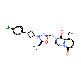 C=C1OC(Cn2ccn3c(=O)ccc(C)c3c2=O)=NN1[C@H]1C[C@H](c2ccc(Cl)cc2)C1